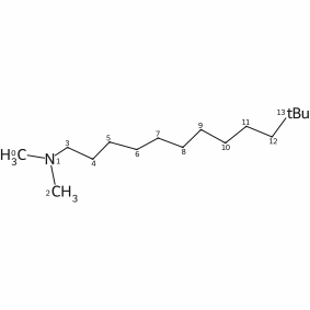 CN(C)CCCCCCCCCCC(C)(C)C